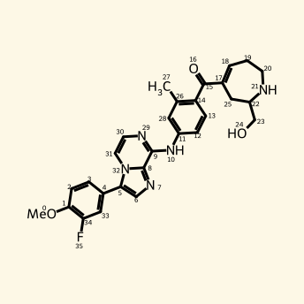 COc1ccc(-c2cnc3c(Nc4ccc(C(=O)C5=CCCNC(CO)C5)c(C)c4)nccn23)cc1F